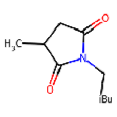 CCC(C)CN1C(=O)CC(C)C1=O